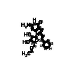 C=COC[C@H]1O[C@@H](n2c(C=Cc3ccccc3)nc3c(=O)[nH]c(N)nc32)[C@H](O)[C@@H]1O